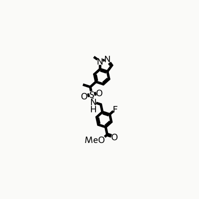 COC(=O)c1ccc(CNS(=O)(=O)C(C)c2ccc3cnn(C)c3c2)c(F)c1